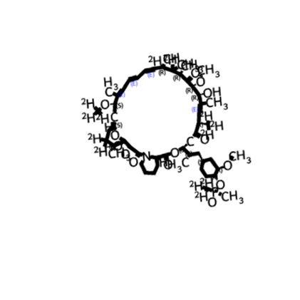 [2H]C([2H])([2H])O[C@H]1C[C@@H]2CC([2H])([2H])[C@@H](C)[C@@](O)(O2)C(=O)C(=O)N2CCCC[C@H]2C(=O)O[C@H]([C@H](C)C[C@@H]2CC[C@@H](OP(C)(=O)C([2H])([2H])[2H])[C@H](OC)C2)CC(=O)[C@H](C([2H])([2H])[2H])/C=C(\C)[C@@H](O)[C@@H](OC)C(=O)[C@H](C)C([2H])(C)[C@]([2H])(C)/C=C/C=C/C=C/1C